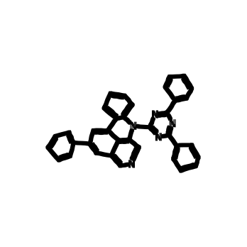 c1ccc(-c2cc3c4c(cncc4c2)N(c2nc(-c4ccccc4)nc(-c4ccccc4)n2)c2ccccc2-3)cc1